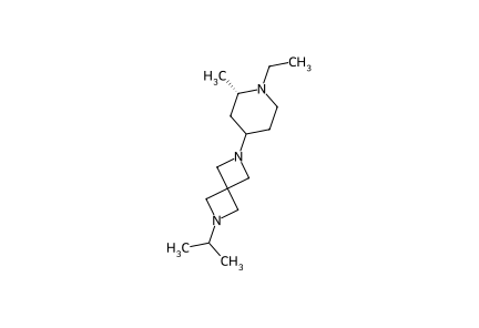 CCN1CCC(N2CC3(CN(C(C)C)C3)C2)C[C@@H]1C